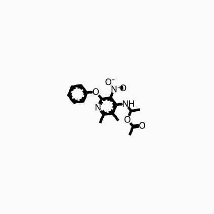 CC(=O)OC(C)Nc1c(C)c(C)nc(Oc2ccccc2)c1[N+](=O)[O-]